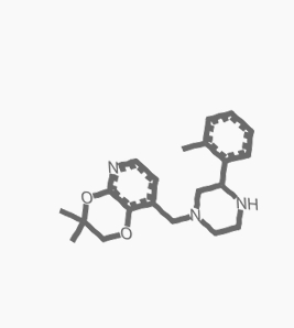 Cc1ccccc1C1CN(Cc2ccnc3c2OCC(C)(C)O3)CCN1